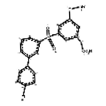 CCCOc1cc(CC(=O)O)cc(S(=O)(=O)c2cccc(-c3ccc(Cl)cc3)c2)c1